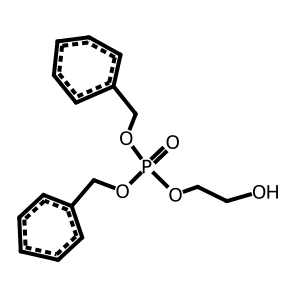 O=P(OCCO)(OCc1ccccc1)OCc1ccccc1